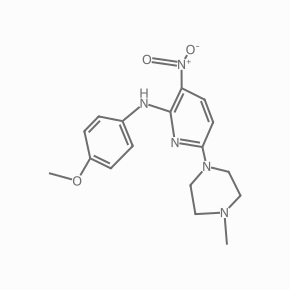 COc1ccc(Nc2nc(N3CCN(C)CC3)ccc2[N+](=O)[O-])cc1